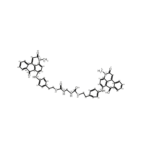 Cn1c(=O)cc2c3c(c(Nc4ccc(CCOC(=O)NCNC(=O)OCCc5ccc(Nc6ccc7c8c(cc(=O)n7C)-c7ccccc7C(=O)c68)cc5)cc4)ccc31)C(=O)c1ccccc1-2